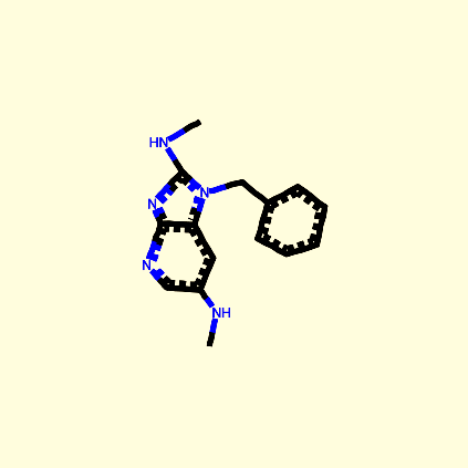 CNc1cnc2nc(NC)n(Cc3ccccc3)c2c1